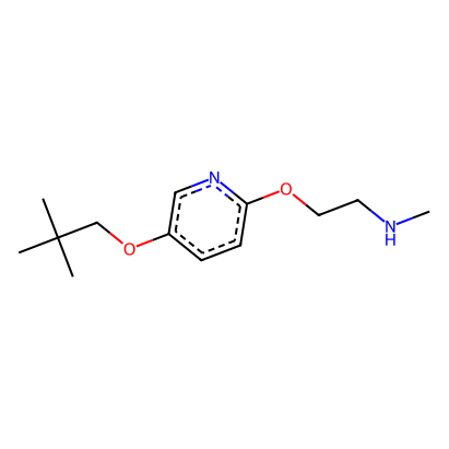 CNCCOc1ccc(OCC(C)(C)C)cn1